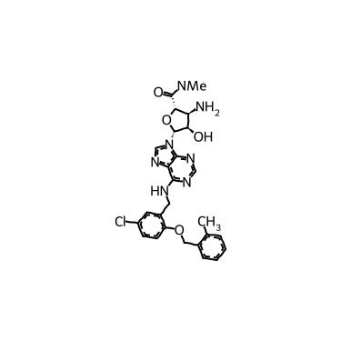 CNC(=O)[C@H]1O[C@@H](n2cnc3c(NCc4cc(Cl)ccc4OCc4ccccc4C)ncnc32)[C@H](O)[C@@H]1N